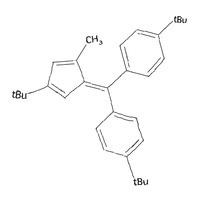 CC1=CC(C(C)(C)C)=CC1=C(c1ccc(C(C)(C)C)cc1)c1ccc(C(C)(C)C)cc1